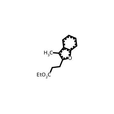 CCOC(=O)CCc1oc2ccccc2c1C